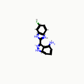 Nc1cccc2[nH]nc(-c3nc4ccc(F)cc4[nH]3)c12